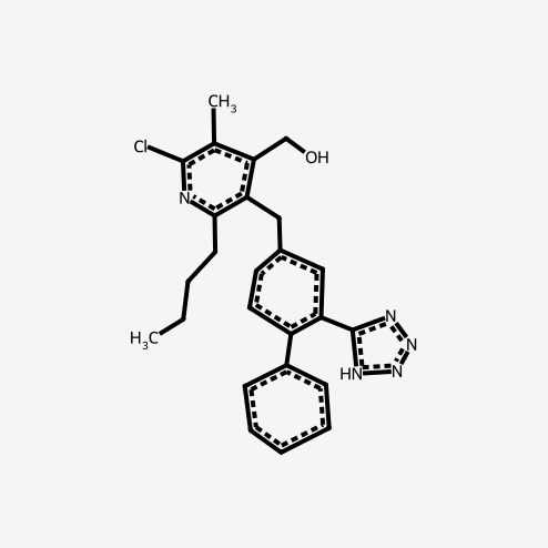 CCCCc1nc(Cl)c(C)c(CO)c1Cc1ccc(-c2ccccc2)c(-c2nnn[nH]2)c1